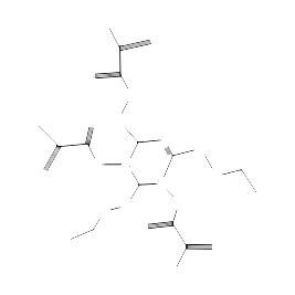 C=C(C)C(=O)OOC1N=C(OOCC)N(OC(=O)C(=C)C)C(OOCC)N1OC(=O)C(=C)C